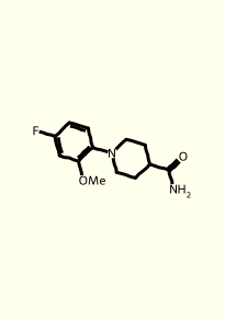 COc1cc(F)ccc1N1CCC(C(N)=O)CC1